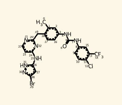 Cc1cc(NC(=O)Nc2ccc(Cl)c(C(F)(F)F)c2)ccc1Cc1nccc(Nc2cc(Br)n[nH]2)n1